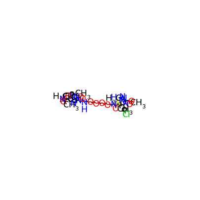 COC(=O)CC1N=C(c2ccc(Cl)cc2)c2c(sc(C(=O)NCCOCCOCCOCCOCCNC(=O)Cn3c(=O)n(C(C)c4ccccn4)c4c5cc(OC)c(-c6c(C)noc6C)cc5ncc43)c2C)-n2c(C)nnc21